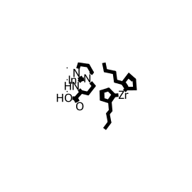 CCCCC1=[C]([Zr][C]2=C(CCCC)C=CC2)CC=C1.O=C(O)C1CCN2CCCN=C2N1.[In]